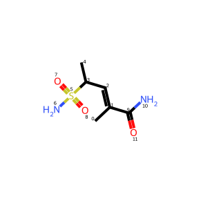 CC(=CC(C)S(N)(=O)=O)C(N)=O